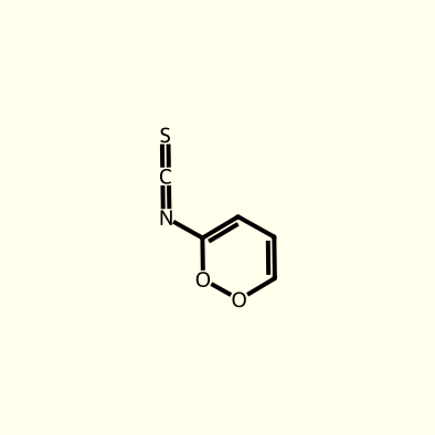 S=C=NC1=CC=COO1